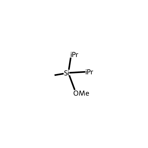 CO[Si](C)(C(C)C)C(C)C